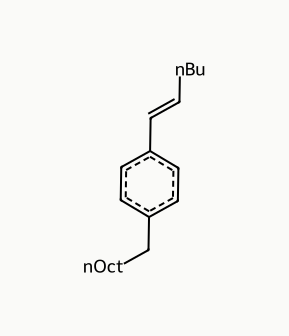 CCCCC=Cc1ccc(CCCCCCCCC)cc1